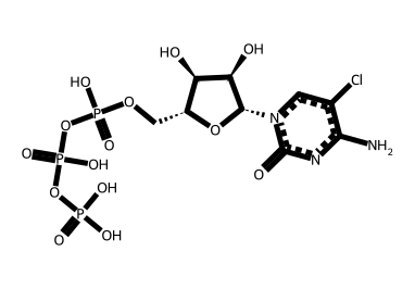 Nc1nc(=O)n([C@@H]2O[C@H](COP(=O)(O)OP(=O)(O)OP(=O)(O)O)[C@@H](O)[C@H]2O)cc1Cl